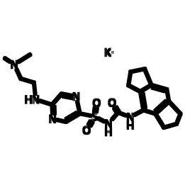 CN(C)CCNc1cnc(S(=O)(=O)NC(=O)Nc2c3c(cc4c2CCC4)CCC3)cn1.[K]